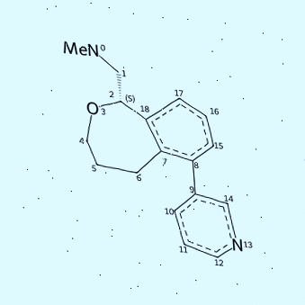 CNC[C@H]1OCCCc2c(-c3cccnc3)cccc21